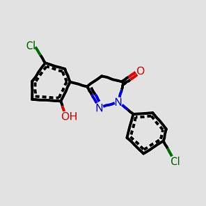 O=C1CC(c2cc(Cl)ccc2O)=NN1c1ccc(Cl)cc1